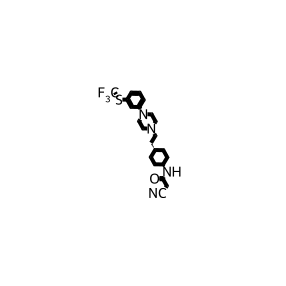 N#CCC(=O)N[C@H]1CC[C@H](CCN2CCN(c3cccc(SC(F)(F)F)c3)CC2)CC1